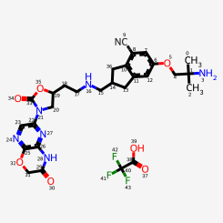 CC(C)(N)COc1cc(C#N)c2c(c1)CC(CNCCC1CN(c3cnc4c(n3)NC(=O)CO4)C(=O)O1)C2.O=C(O)C(F)(F)F